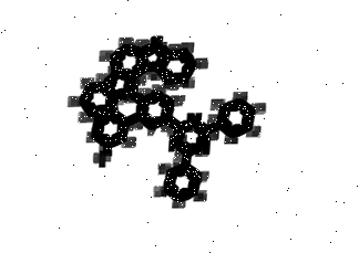 Fc1cccc(-c2cc(-c3nc(-c4ccccc4)nc(-c4ccccc4)n3)ccc2-n2c3ccccc3c3ccc4sc5ccccc5c4c32)c1